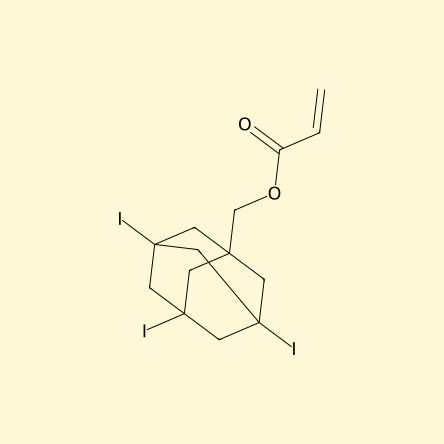 C=CC(=O)OCC12CC3(I)CC(I)(CC(I)(C3)C1)C2